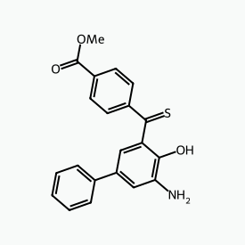 COC(=O)c1ccc(C(=S)c2cc(-c3ccccc3)cc(N)c2O)cc1